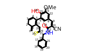 C=C1CC=CC(c2cc(C=C(C#N)C(=O)NCc3ccccc3)cc(OC)c2O)=C1CC=S